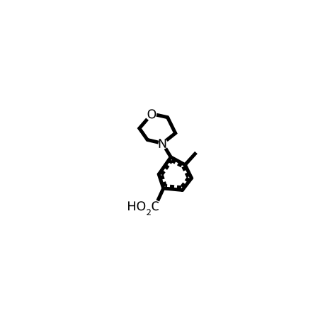 Cc1ccc(C(=O)O)cc1N1CCOCC1